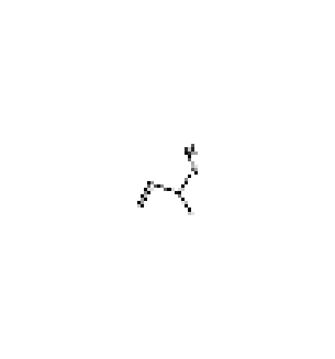 [CH2]CSC(C)C=C